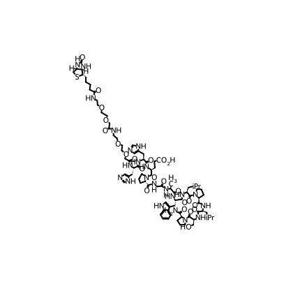 CC(C)C[C@H](NC(=O)[C@@H]1CCCN1C(=O)[C@H](CC(C)C)NC(=O)[C@H](Cc1c[nH]c2ccccc12)NC(=O)[C@H](C)NC(=O)CNC(=O)[C@@H]1CCCN1C(=O)[C@H](CCC(=O)O)NC(=O)[C@H](Cc1cnc[nH]1)NC(=O)[C@H](Cc1cnc[nH]1)NC(=O)COCCOCCNC(=O)COCCOCCNC(=O)CCCC[C@@H]1SC[C@@H]2NC(=O)N[C@@H]21)C(=O)N[C@@H](CO)C(=O)N1CCC[C@H]1C(N)=O